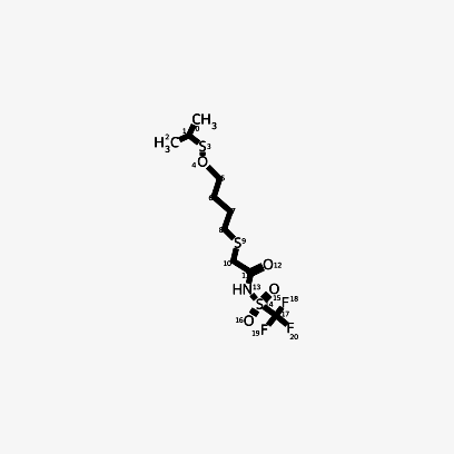 CC(C)SOCCCCSCC(=O)NS(=O)(=O)C(F)(F)F